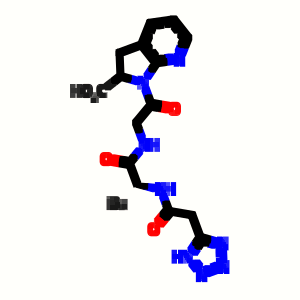 CC[C@H](C)[C@H](NC(=O)Cc1nnn[nH]1)C(=O)NCC(=O)N1c2ncccc2CC1C(=O)O